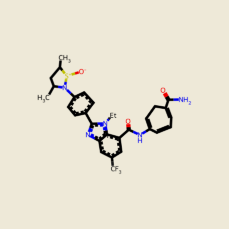 CCn1c(-c2ccc(N3C(C)CC(C)[S+]3[O-])cc2)nc2cc(C(F)(F)F)cc(C(=O)NC3=CCC(C(N)=O)=CC=C3)c21